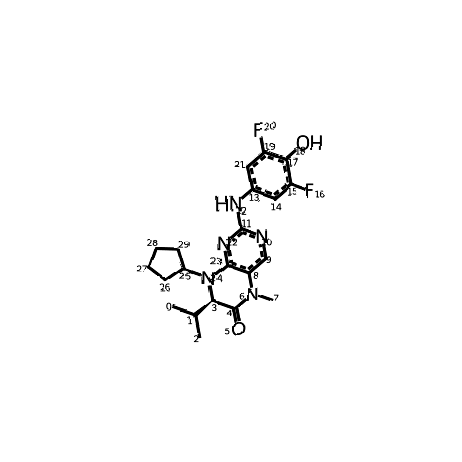 CC(C)[C@@H]1C(=O)N(C)c2cnc(Nc3cc(F)c(O)c(F)c3)nc2N1C1CCCC1